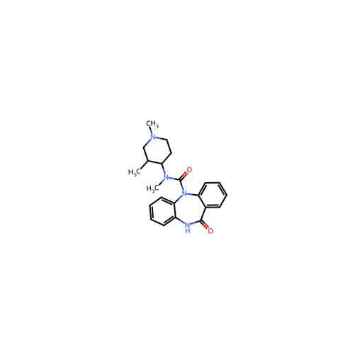 CC1CN(C)CCC1N(C)C(=O)N1c2ccccc2NC(=O)c2ccccc21